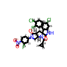 O=C1[C@@H]2[C@H](CN1c1ccc([N+](=O)[O-])c(F)c1)N(CC1CC1)[C@@]1(C(=O)Nc3cc(Cl)ccc31)[C@H]2c1cccc(Cl)c1F